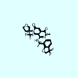 C[C@@H](Nc1nn(C)c(=O)c2cc(=O)n([C@]3(C(F)(F)F)CCOC3)cc12)c1cccc2c1OCC2(F)F